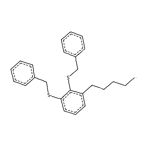 [CH2]CCCCc1cccc(SCc2ccccc2)c1SCc1ccccc1